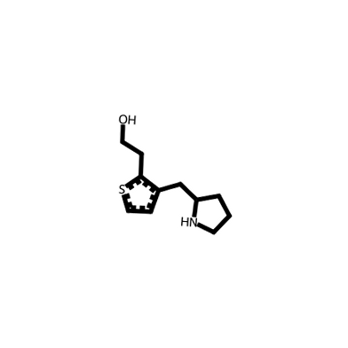 OCCc1sccc1CC1CCCN1